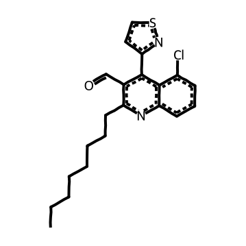 CCCCCCCCc1nc2cccc(Cl)c2c(-c2ccsn2)c1C=O